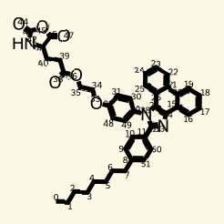 CCCCCCCCc1ccc(-c2nc3c4ccccc4c4ccccc4c3n2-c2ccc(OCCOC(=O)CCC3NC(=O)OC3=O)cc2)cc1